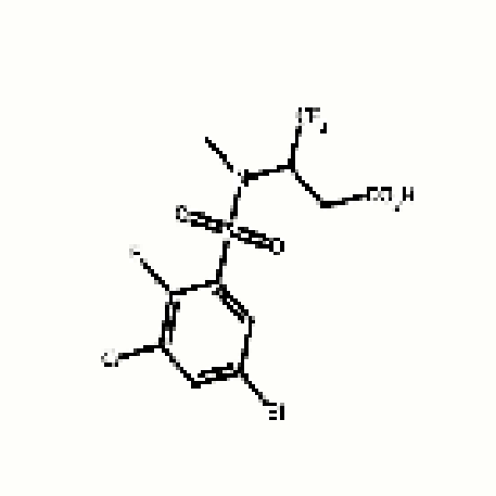 CCc1cc(Cl)c(F)c(S(=O)(=O)N(C)C(CC(=O)O)C(F)(F)F)c1